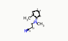 Cc1ccccc1N(C)CCC#N